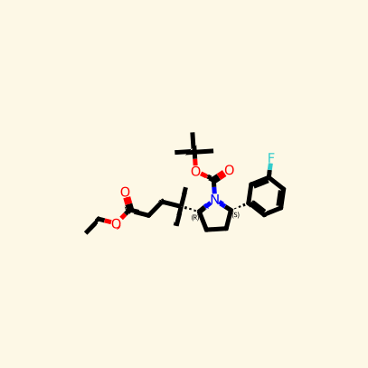 CCOC(=O)CCC(C)(C)[C@H]1CC[C@@H](c2cccc(F)c2)N1C(=O)OC(C)(C)C